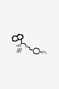 CN1CCN(CCOCC(O)c2cccc3ccccc23)CC1.Cl.Cl